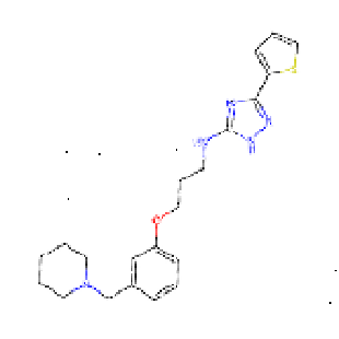 c1cc(CN2CCCCC2)cc(OCCCNc2nc(-c3cccs3)n[nH]2)c1